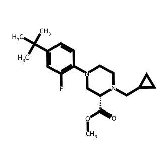 COC(=O)[C@@H]1CN(c2ccc(C(C)(C)C)cc2F)CCN1CC1CC1